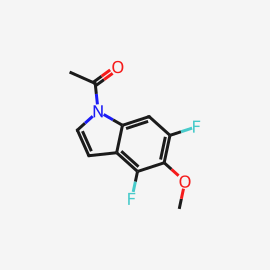 COc1c(F)cc2c(ccn2C(C)=O)c1F